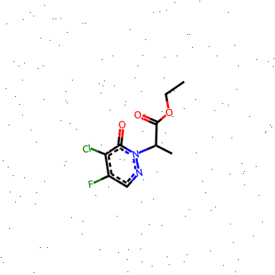 CCOC(=O)C(C)n1ncc(F)c(Cl)c1=O